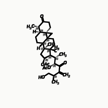 C=C(C(=O)[C@H](OC(C)=O)[C@@H](C)[C@H]1[C@@H](OC(C)=O)C[C@@]2(C)[C@@H]3CC[C@H]4[C@H](C)C(=O)CC[C@@]45C[C@@]35CC[C@]12C)[C@@H](C)CO